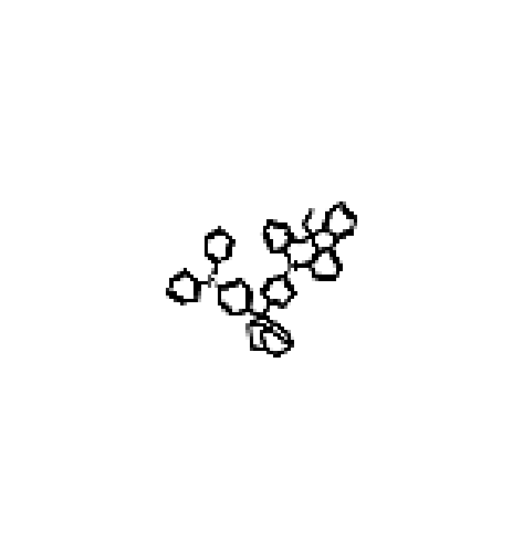 CCC1(CC)c2ccccc2-c2cccc(N(c3ccccc3)c3ccc(C4(c5ccc(N(c6ccccc6)c6ccccc6)cc5)C5CC6CC(C5)CC4C6)cc3)c21